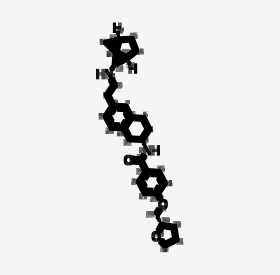 O=C(N[C@H]1CCc2cc(CCN[C@@H]3[C@@H]4CC[C@@H]5CC534)ccc2C1)c1ccc(OC[C@@H]2CCCO2)cc1